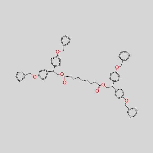 O=C(CCCCCCCC(=O)OCC(c1ccc(OCc2ccccc2)cc1)c1ccc(OCc2ccccc2)cc1)OCC(c1ccc(OCc2ccccc2)cc1)c1ccc(OCc2ccccc2)cc1